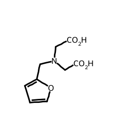 O=C(O)CN(CC(=O)O)Cc1ccco1